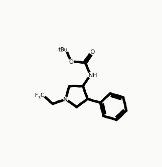 CC(C)(C)OC(=O)NC1CN(CC(F)(F)F)CC1c1ccccc1